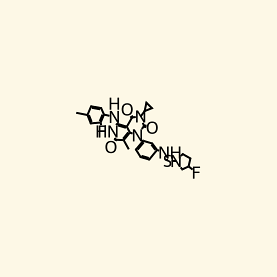 Cc1ccc(Nc2[nH]c(=O)c(C)c3c2c(=O)n(C2CC2)c(=O)n3-c2cccc(NSN3CCC(F)C3)c2)c(F)c1